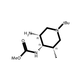 COC(=O)N[C@@H]1[C@H](N)CN(C(C)(C)C)C[C@@H]1C